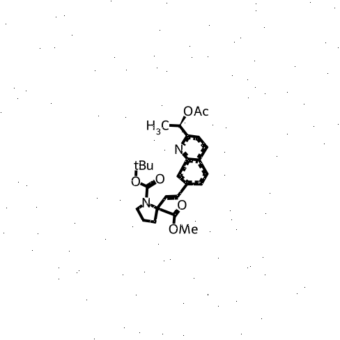 COC(=O)C1(C=Cc2ccc3ccc([C@@H](C)OC(C)=O)nc3c2)CCCN1C(=O)OC(C)(C)C